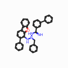 N=C(NN(Cc1ccccc1)Nc1c(-c2ccccc2)ccc2c1oc1ccccc12)c1cccc(-c2ccccc2)c1